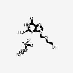 Nc1nc2c(ncn2COCCO)c(=O)[nH]1.O=P([O-])([O-])[O-].[Na+].[Na+].[Na+]